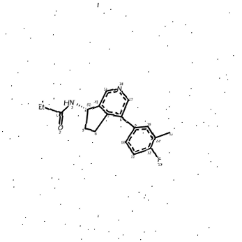 CCC(=O)N[C@H]1CCc2c(-c3ccc(F)c(C)c3)cncc21